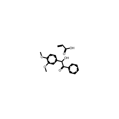 C=CC(=O)O.COc1ccc(C(O)C(=O)c2ccccc2)cc1OC